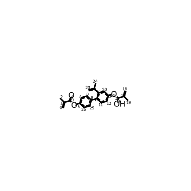 C=C(C)C(=O)Oc1ccc(-c2ccc(OC(O)C(=C)C)cc2C(=C)C)cc1